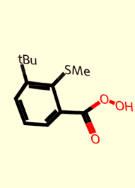 CSc1c(C(=O)OO)cccc1C(C)(C)C